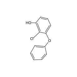 Oc1cccc(Oc2ccccc2)c1Cl